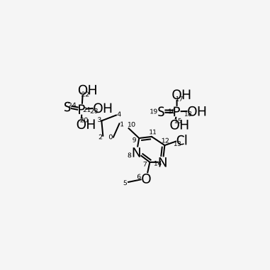 CC.CCC.COc1nc(C)cc(Cl)n1.OP(O)(O)=S.OP(O)(O)=S